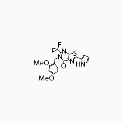 COc1ccc(Cn2c(C3(F)CC3)nc3sc(-c4ccc[nH]4)nc3c2=O)c(OC)c1